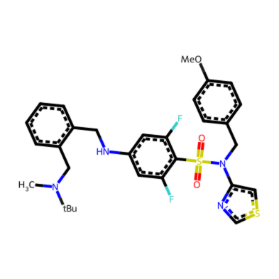 COc1ccc(CN(c2cscn2)S(=O)(=O)c2c(F)cc(NCc3ccccc3CN(C)C(C)(C)C)cc2F)cc1